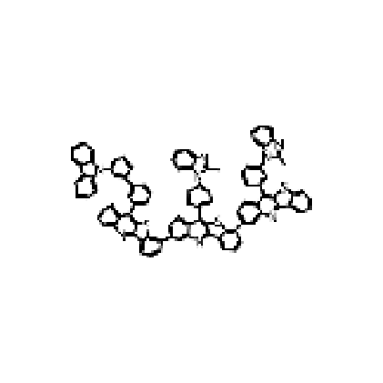 Cc1nc2ccccc2n1-c1ccc(-c2c3ccc(-c4cccc5c4sc4c(-c6cccc(-c7cccc(-n8c9ccccc9c9ccccc98)c7)c6)c6ccccc6nc45)cc3nc3c2sc2c(-c4ccc5c(-c6cccc(-n7c(C)nc8ccccc87)c6)c6sc7ccccc7c6nc5c4)cccc23)cc1